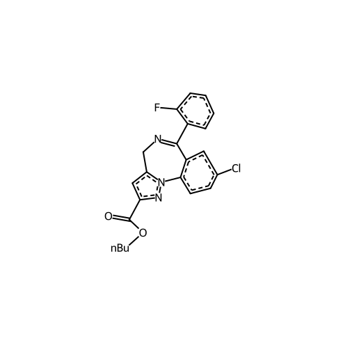 CCCCOC(=O)c1cc2n(n1)-c1ccc(Cl)cc1C(c1ccccc1F)=NC2